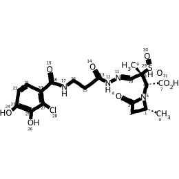 C[C@@H]1CC(=O)N1[C@@H](C(=O)O)[C@](C)(/C=N/NC(=O)CCNC(=O)c1ccc(O)c(O)c1Cl)[SH](=O)=O